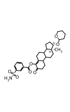 C[C@]12CCC3C4CCC(=O)C(OC(=O)c5cccc(S(N)(=O)=O)c5)=C4CCC3C1CC[C@@H]2OC1CCCCO1